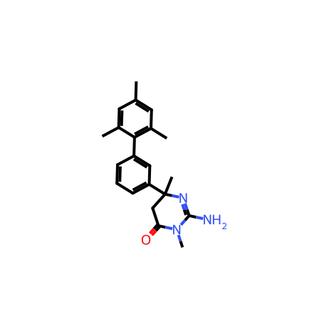 Cc1cc(C)c(-c2cccc(C3(C)CC(=O)N(C)C(N)=N3)c2)c(C)c1